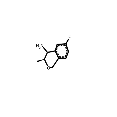 C[C@@H]1OCc2ccc(F)cc2C1N